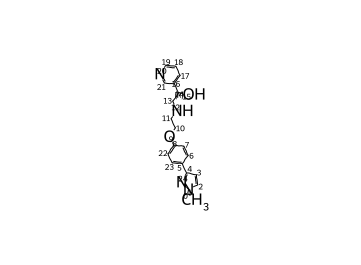 Cn1ccc(-c2ccc(OCCNC[C@H](O)c3cccnc3)cc2)n1